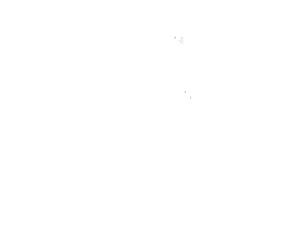 Nc1nc(CCF)ccc1C(=O)O